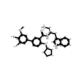 COc1cc(-c2ccc(OC3CCCC3)c(C(=O)N[C@@H](CO)Cc3c[nH]c4ccccc34)c2)cc(F)c1F